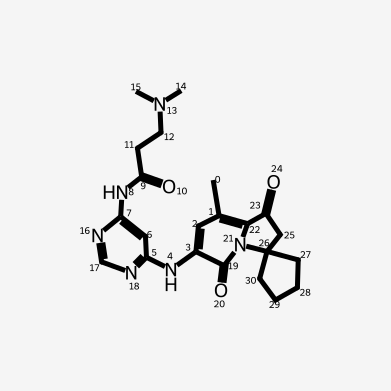 Cc1cc(Nc2cc(NC(=O)CCN(C)C)ncn2)c(=O)n2c1C(=O)CC21CCCC1